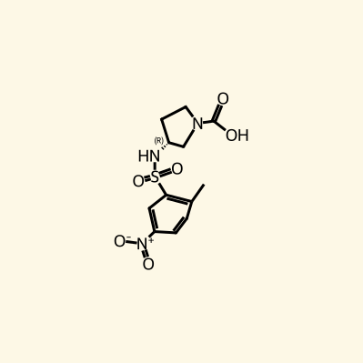 Cc1ccc([N+](=O)[O-])cc1S(=O)(=O)N[C@@H]1CCN(C(=O)O)C1